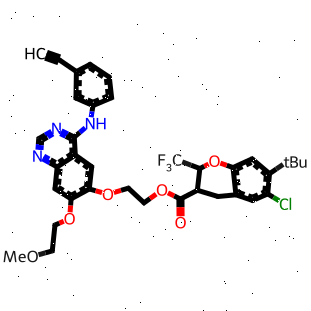 C#Cc1cccc(Nc2ncnc3cc(OCCOC)c(OCCOC(=O)C4Cc5cc(Cl)c(C(C)(C)C)cc5OC4C(F)(F)F)cc23)c1